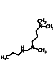 CCCNCN(C)CCCN(C)C